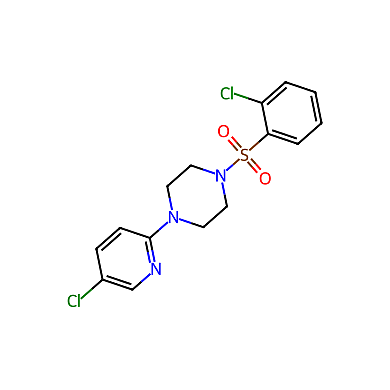 O=S(=O)(c1ccccc1Cl)N1CCN(c2ccc(Cl)cn2)CC1